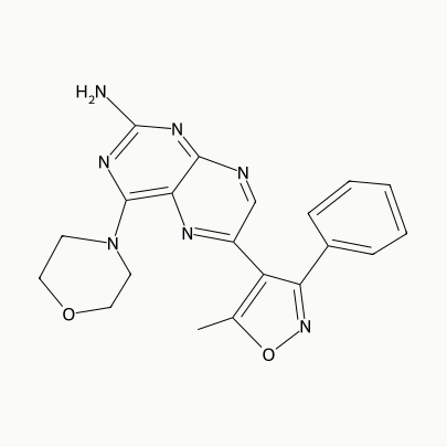 Cc1onc(-c2ccccc2)c1-c1cnc2nc(N)nc(N3CCOCC3)c2n1